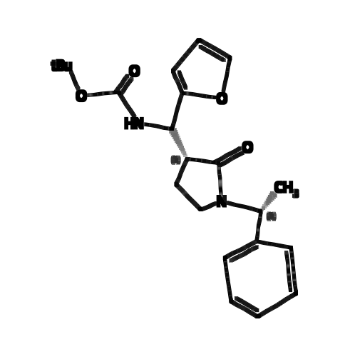 C[C@H](c1ccccc1)N1CC[C@H](C(NC(=O)OC(C)(C)C)c2ccco2)C1=O